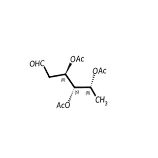 CC(=O)O[C@@H]([C@@H](C)OC(C)=O)[C@@H](CC=O)OC(C)=O